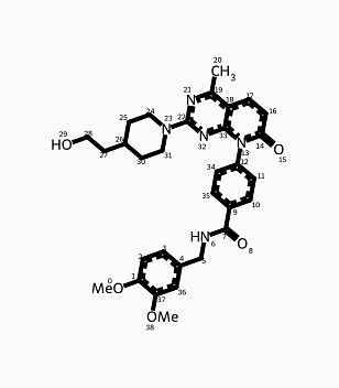 COc1ccc(CNC(=O)c2ccc(-n3c(=O)ccc4c(C)nc(N5CCC(CCO)CC5)nc43)cc2)cc1OC